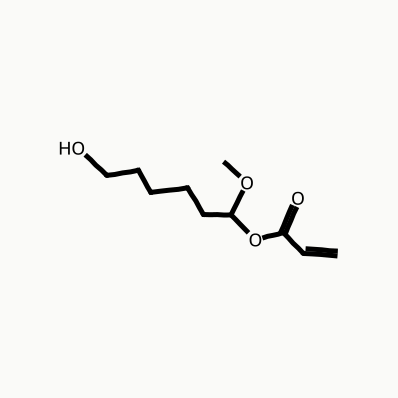 C=CC(=O)OC(CCCCCO)OC